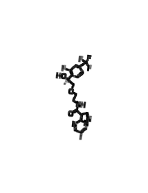 Cc1cnc2c(C(=O)NCCOC[C@@](C)(O)c3ccc(C(F)(F)F)cc3F)cnn2c1